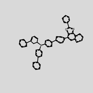 C1=CC(N(c2ccc(-c3ccccc3)cc2)c2ccc(-c3ccc(-c4cc5ccccc5c5nc(-c6ccccc6)oc45)cc3)cc2)CC(c2ccccc2)=C1